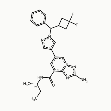 CC[C@H](C)NC(=O)c1cc(-c2cnn(C(c3ccccc3)C3CC(F)(F)C3)c2)cn2nc(N)nc12